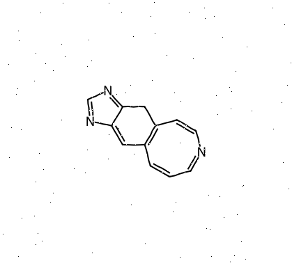 C1=CC2=C(C=CN=C1)CC1=NC=NC1=C2